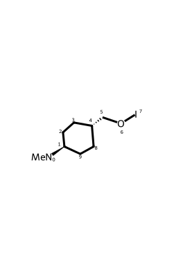 CN[C@H]1CC[C@H](COI)CC1